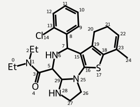 CCN(CC)C(=O)C1NC(c2ccccc2Cl)c2c(sc3c2CCC=C3C)N2CCNC12